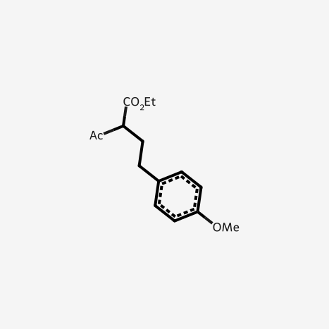 CCOC(=O)C(CCc1ccc(OC)cc1)C(C)=O